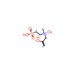 C=C(O)C[N+](C)([O-])CCS(=O)(=O)O